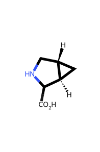 O=C(O)C1NC[C@@H]2C[C@@H]12